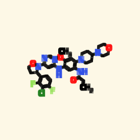 C=CC(=O)Nc1cc(Nc2cc(N3OCCC3c3ccc(F)c(Cl)c3F)ncn2)c(OC)cc1N1CCC(N2CCOCC2)CC1